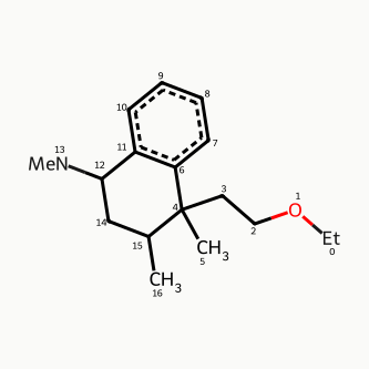 CCOCCC1(C)c2ccccc2C(NC)CC1C